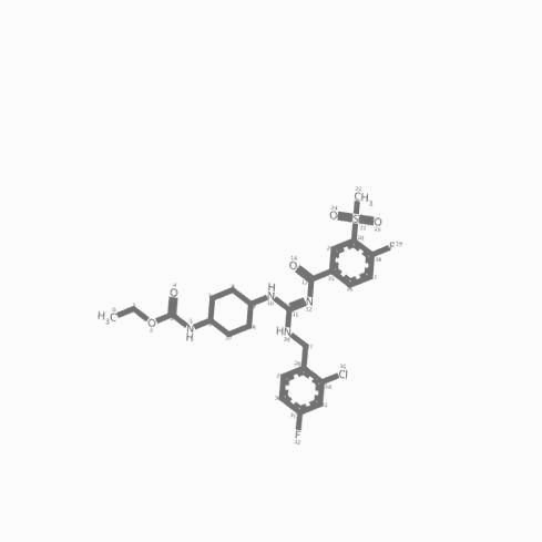 CCOC(=O)NC1CCC(N/C(=N\C(=O)c2ccc(F)c(S(C)(=O)=O)c2)NCc2ccc(F)cc2Cl)CC1